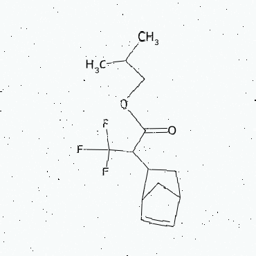 CC(C)COC(=O)C(C1CC2C=CC1C2)C(F)(F)F